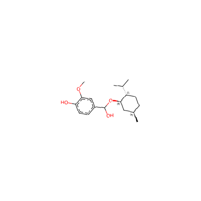 COc1cc(C(O)O[C@@H]2C[C@H](C)CC[C@H]2C(C)C)ccc1O